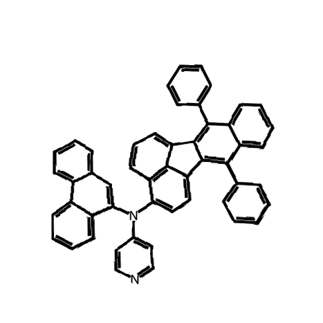 c1ccc(-c2c3c(c(-c4ccccc4)c4ccccc24)-c2ccc(N(c4ccncc4)c4cc5ccccc5c5ccccc45)c4cccc-3c24)cc1